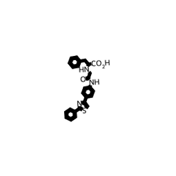 O=C(CNC(Cc1ccccc1)C(=O)O)Nc1ccc(-c2csc(-c3ccccc3)n2)cc1